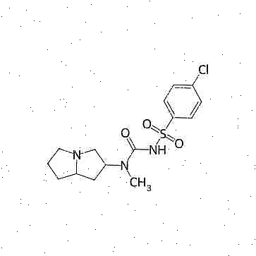 CN(C(=O)NS(=O)(=O)c1ccc(Cl)cc1)C1CC2CCCN2C1